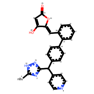 CCCCc1nc(C(c2ccncc2)c2ccc(-c3ccccc3/C=C3\OC(=O)C=C3O)cc2)n[nH]1